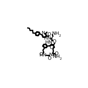 CCCCCc1ccc(-c2ccc(C(=O)N[C@@H](CCN)C(=O)Nc3c(C)cc4cc3-c3cccc(c3)CC(=O)NCC(=O)NC(C(N)=O)C4)c(C)n2)cc1